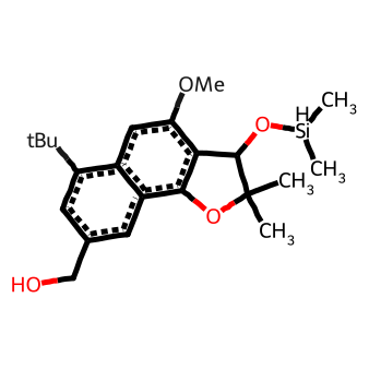 COc1cc2c(C(C)(C)C)cc(CO)cc2c2c1C(O[SiH](C)C)C(C)(C)O2